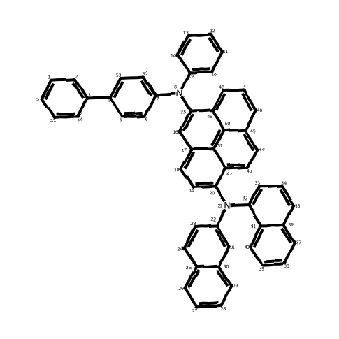 c1ccc(-c2ccc(N(c3ccccc3)c3cc4ccc(N(c5ccc6ccccc6c5)c5cccc6ccccc56)c5ccc6cccc3c6c45)cc2)cc1